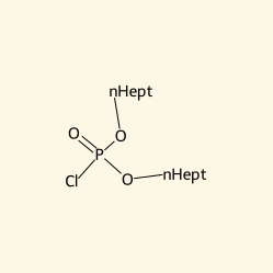 CCCCCCCOP(=O)(Cl)OCCCCCCC